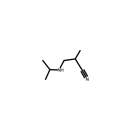 CC(C#N)CNC(C)C